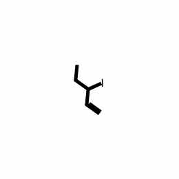 C=CC(I)CC